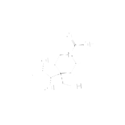 C[C@H](O)C(O)C1(CO)CCN(C(=O)O)CC1